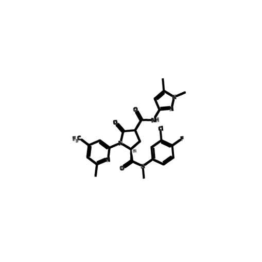 Cc1cc(C(F)(F)F)cc(N2C(=O)C(C(=O)Nc3cc(C)n(C)n3)C[C@H]2C(=O)N(C)c2ccc(F)c(Cl)c2)n1